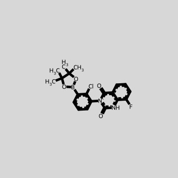 CC1(C)OB(c2cccc(-n3c(=O)[nH]c4c(F)cccc4c3=O)c2Cl)OC1(C)C